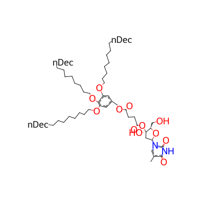 CCCCCCCCCCCCCCCCCCOc1cc(COC(=O)CCC(=O)O[C@]2(O)C[C@H](n3cc(C)c(=O)[nH]c3=O)O[C@@H]2CO)cc(OCCCCCCCCCCCCCCCCCC)c1OCCCCCCCCCCCCCCCCCC